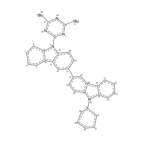 CC(C)(C)c1nc(-n2c3ccccc3c3cc(-c4ccc5c(c4)c4ccccc4n5-c4ccccc4)ccc32)nc(C(C)(C)C)n1